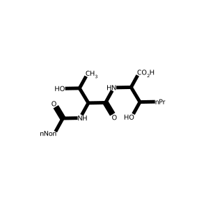 CCCCCCCCCC(=O)NC(C(=O)NC(C(=O)O)C(O)CCC)C(C)O